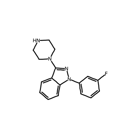 Fc1cccc(-n2nc(N3CCNCC3)c3ccccc32)c1